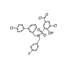 O=C(Cl)c1cc(Cl)c(O)c(S(=O)(=O)N(Cc2ccc(F)cc2)Cc2cccc(-c3ccc(Cl)cc3)c2)c1